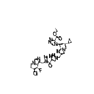 CCOC(=O)c1nncn1-c1cc(C2CC2)cn2cc(Cn3cc(C(=O)NCc4ncn5ccc(Cl)c(F)c45)nn3)nc12